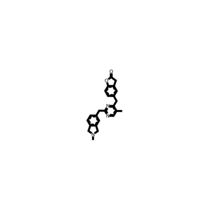 Cc1cnc(Cc2ccc3c(c2)CN(C)C3)nc1Cc1ccc2c(c1)CC(=O)O2